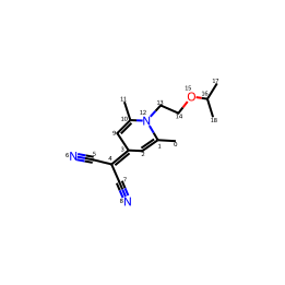 CC1=CC(=C(C#N)C#N)C=C(C)N1CCOC(C)C